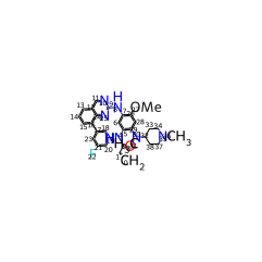 C=CC(=O)Nc1cc(Nc2ncc3cccc(-c4cncc(F)c4)c3n2)c(OC)cc1N(C)C1CCN(C)CC1